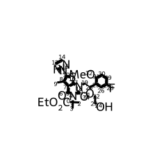 CCOC(=O)C(C)(C)n1c(=O)c2c(C)c(-n3nccn3)sc2n(C[C@H](OCCO)c2cc(F)ccc2OC)c1=O